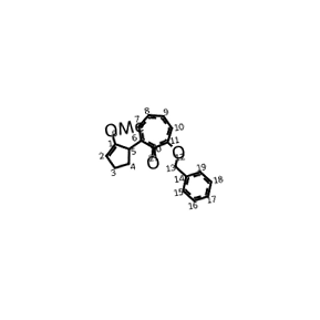 COC1=CCCC1c1ccccc(OCc2ccccc2)c1=O